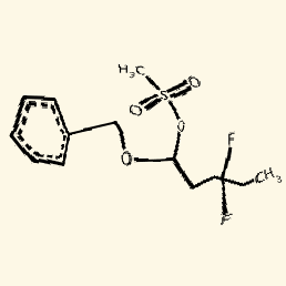 CC(F)(F)CC(OCc1ccccc1)OS(C)(=O)=O